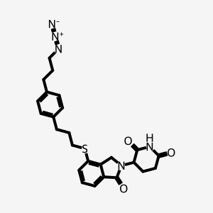 [N-]=[N+]=NCCCc1ccc(CCCSc2cccc3c2CN(C2CCC(=O)NC2=O)C3=O)cc1